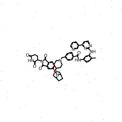 Cc1ccc(NC(=O)c2ccc(CN3CCC(CN4C5CCC4CN(c4ccc6c(c4)C(=O)N(C4CCC(=O)NC4=O)C6=O)C5)CC3)cc2)cc1Nc1nccc(-c2cccnc2)n1